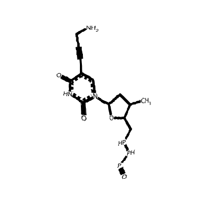 CC1CC(n2cc(C#CCN)c(=O)[nH]c2=O)OC1CPPP=O